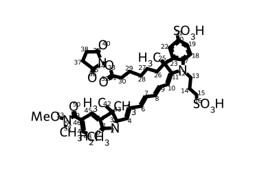 C=C1N=C(/C=C/C=C/C=C/C=C2/N(CCCS(=O)(=O)O)c3ccc(S(=O)(=O)O)cc3C2(C)CCCCCC(=O)ON2C(=O)CCC2=O)C(C)(C)/C1=C/C(=C\C)C(=O)N(C)OC